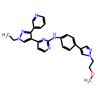 CCn1cc(-c2ccnc(Nc3ccc(-c4cnn(CCOC)c4)cc3)n2)c(-c2cccnc2)n1